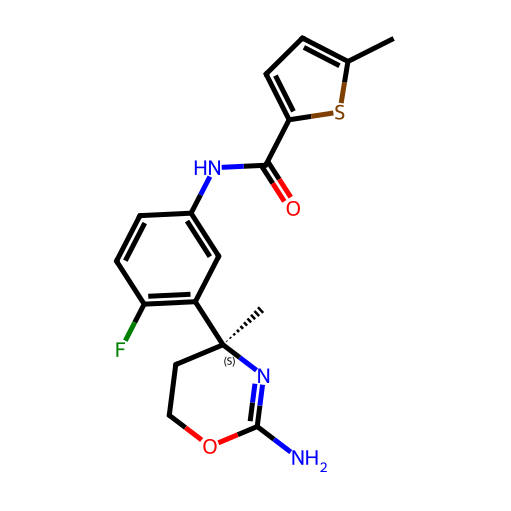 Cc1ccc(C(=O)Nc2ccc(F)c([C@]3(C)CCOC(N)=N3)c2)s1